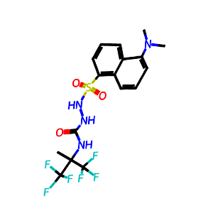 CN(C)c1cccc2c(S(=O)(=O)NNC(=O)NC(C)(C(F)(F)F)C(F)(F)F)cccc12